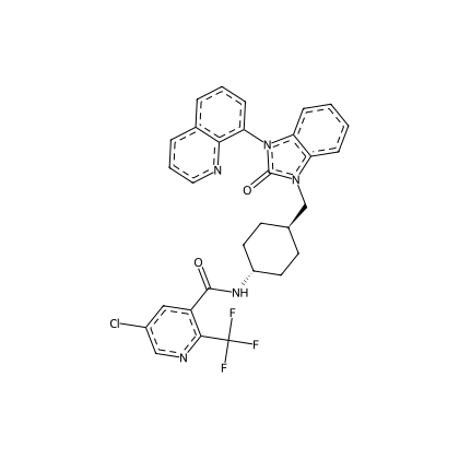 O=C(N[C@H]1CC[C@H](Cn2c(=O)n(-c3cccc4cccnc34)c3ccccc32)CC1)c1cc(Cl)cnc1C(F)(F)F